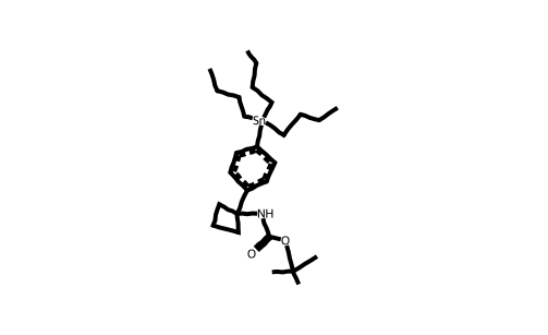 CCC[CH2][Sn]([CH2]CCC)([CH2]CCC)[c]1ccc(C2(NC(=O)OC(C)(C)C)CCC2)cc1